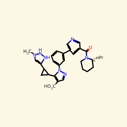 CCC[C@@H]1CCCCN1C(=O)c1cncc(-c2cccc(-n3ncc(C(=O)O)c3C3CC3C3=CN(C)NN3)c2)c1